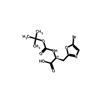 CC(C)(C)OC(=O)N[C@@H](Cc1ncc(Br)o1)C(=O)O